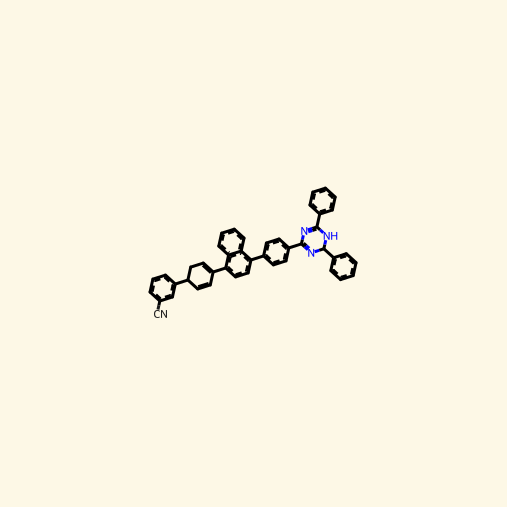 N#Cc1cccc(C2C=CC(c3ccc(-c4ccc(C5=NC(c6ccccc6)NC(c6ccccc6)=N5)cc4)c4ccccc34)=CC2)c1